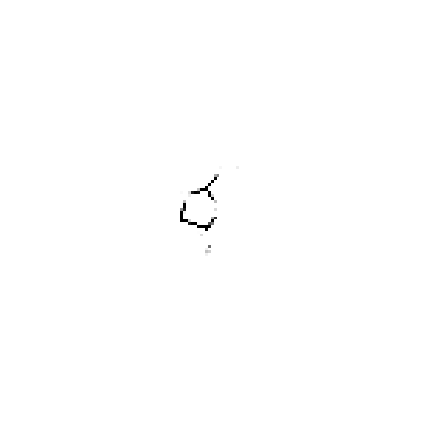 CCCC1OC[C@@H](CC)O1